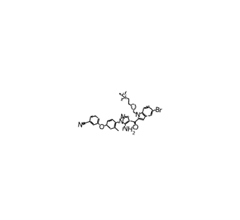 Cc1cc(Oc2cccc(C#N)c2)ccc1-n1ncc(C(=O)c2cc3cc(Br)ccc3n2COCC[Si](C)(C)C)c1N